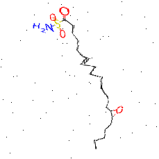 CCCCCC1OC1CCCCCCC=CC=CC=CC(=O)S(N)(=O)=O